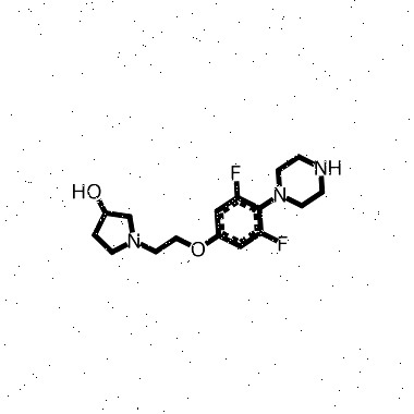 OC1CCN(CCOc2cc(F)c(N3CCNCC3)c(F)c2)C1